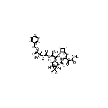 CC(C)[C@](C)(NC(=O)N[C@H](C(=O)N1C[C@H]2[C@@H]([C@H]1C(=O)NC(CC1CCC1)C(=O)C(N)=O)C2(C)C)C(C)(C)C)C(=O)OCc1ccccc1